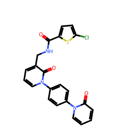 O=C(NCc1cccn(-c2ccc(-n3ccccc3=O)cc2)c1=O)c1ccc(Cl)s1